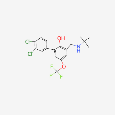 CC(C)(C)NCc1cc(OC(F)(F)F)cc(-c2ccc(Cl)c(Cl)c2)c1O